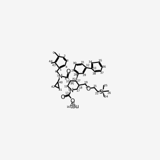 Cc1cccc(CN(C(=O)[C@H]2CN(C(=O)OC(C)(C)C)CC(COCC[Si](C)(C)C)[C@@H]2c2cccc(-c3ccccc3)c2)C2CC2)c1C